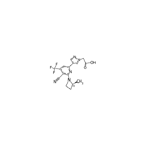 C[C@H]1CCN1c1nc(-c2cnn(CC(=O)O)c2)cc(C(F)(F)F)c1C#N